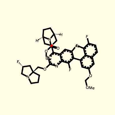 COCOc1cc(-c2c(C(C)=O)cc3c(N4C[C@H]5CC[C@@H](C4)N5C(=O)OC(C)(C)C)nc(OC[C@@]45CCCN4C[C@H](F)C5)nc3c2F)c2c(F)c(F)ccc2c1